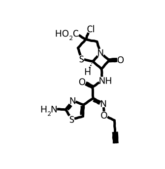 C#CCON=C(C(=O)NC1C(=O)N2CC(Cl)(C(=O)O)CS[C@H]12)c1csc(N)n1